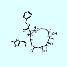 CC(=Cc1csc(C)n1)[C@@H]1C[C@H]2[C@@H](CCC[C@H](C)[C@H](O)[C@@H](C)C(=O)C(C)(C)[C@@H](O)CC(=O)O1)N2C(=O)OCc1ccccc1